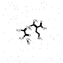 C=C(C)C(N)=O.CC(C)=C(CCN)C(=O)O.CCl